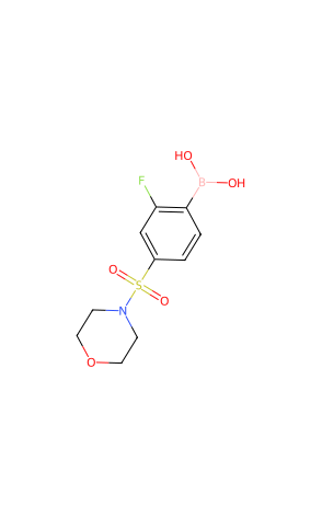 O=S(=O)(c1ccc(B(O)O)c(F)c1)N1CCOCC1